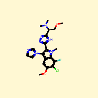 COC[C@@H](c1nnc(-c2c(-n3ccnc3)c3cc(OC)c(Cl)c(F)c3n2C)[nH]1)N(C)C